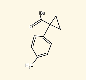 CCC(C)C(=O)C1(c2ccc(C)cc2)CC1